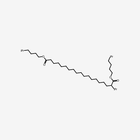 CC(C)CCCCOC(=O)CCCCCCCCCCCCCCCCC(C(=O)OCCCCC(C)C)C(C)C